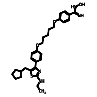 CCNc1nc(-c2ccc(OCCCCCOc3ccc(C(=N)NO)cc3)cc2)c(CC2CCCC2)s1